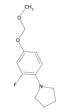 COCOc1ccc(N2CCCC2)c(F)c1